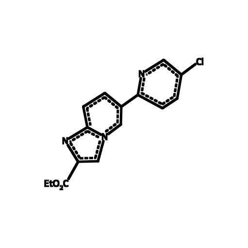 CCOC(=O)c1cn2cc(-c3ccc(Cl)cn3)ccc2n1